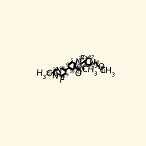 CN/C(=N\c1ccc(-c2cc(F)c3nc(C)cn3c2)cc1C=O)C1(F)CCN(CCOC)CC1